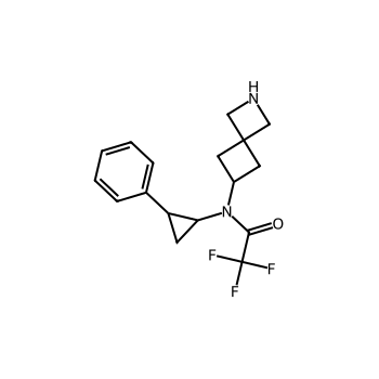 O=C(N(C1CC2(CNC2)C1)C1CC1c1ccccc1)C(F)(F)F